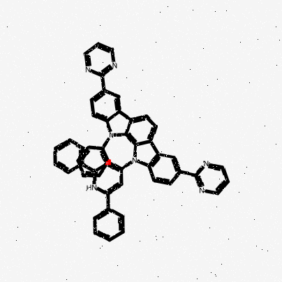 C1=C(c2ccccc2)NC(c2ccccc2)C=C1n1c2ccc(-c3ncccn3)cc2c2ccc3c4cc(-c5ncccn5)ccc4n(-c4ccccc4)c3c21